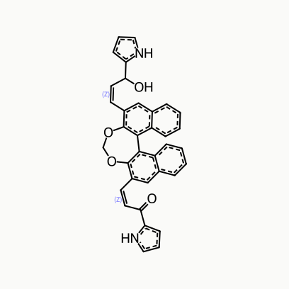 O=C(/C=C\c1cc2ccccc2c2c1OCOc1c(/C=C\C(O)c3ccc[nH]3)cc3ccccc3c1-2)c1ccc[nH]1